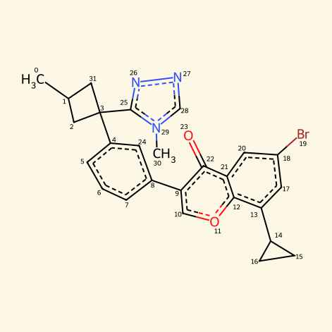 CC1CC(c2cccc(-c3coc4c(C5CC5)cc(Br)cc4c3=O)c2)(c2nncn2C)C1